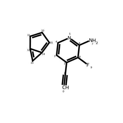 C#Cc1ccnc(N)c1F.c1cc2cc-2c1